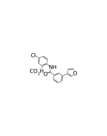 O=C(Nc1ccc(Cl)cc1C(=O)O)c1cccc(-c2ccoc2)c1